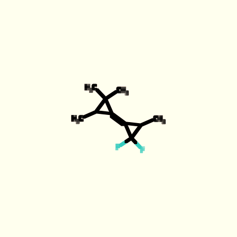 CC1C(=C2C(C)C2(F)F)C1(C)C